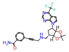 CC1(C)O[C@@H]2[C@@H](CNCC#Cc3cccc(C(N)=O)c3)C[C@@H](n3ccc4c(C(F)(F)F)ncnc43)[C@@H]2O1